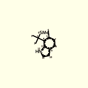 CSC(C)(C)c1c(C)ccc2cc[nH]c12